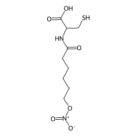 O=C(CCCCCO[N+](=O)[O-])NC(CS)C(=O)O